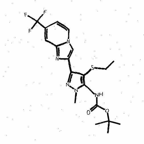 CCSc1c(-c2cn3ccc(C(F)(F)F)cc3n2)nn(C)c1NC(=O)OC(C)(C)C